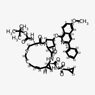 COc1ccc2c(OC3C[C@H]4C(=O)N[C@]5(C(=O)NS(=O)(=O)C6CC6)C[C@H]5/C=C\CCCSC[C@H](NC(=O)OC(C)(C)C)C(=O)N4C3)nc(-c3ccccc3)cc2c1